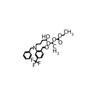 CCOC(=O)OC(C)OC(O)CCCN(Cc1ccccc1)c1cc(C(F)(F)F)ccc1C=O